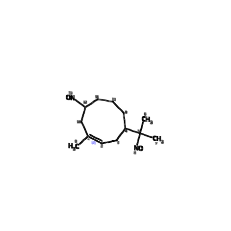 C/C1=C/CC(C(C)(C)N=O)CCCC(N=O)C1